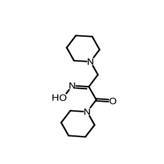 O=C(C(CN1CCCCC1)=NO)N1CCCCC1